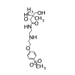 CC(C)(CO)[C@@H](O)C(=O)NCCNCCOc1ccc(S(C)(=O)=O)cc1